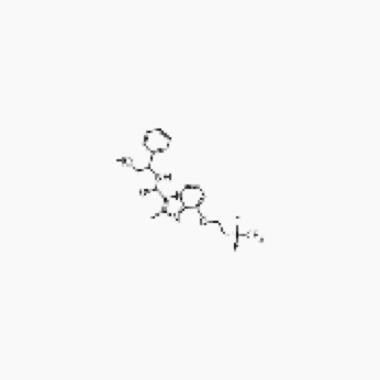 Cc1nc2c(OCCC(F)(F)C(F)(F)F)cccn2c1C(=O)N[C@@H](CO)c1ccccc1